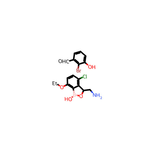 CCOc1ccc(Cl)c2c1B(O)OC2CN.O=Cc1cccc(O)c1Br